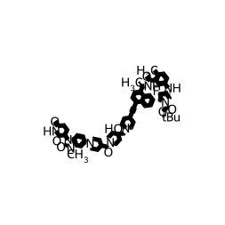 Cc1ccc(N[C@H]2CN(C(=O)OC(C)(C)C)C[C@H]2F)cc1C(=O)N[C@H](C)c1ccc(C#CC2CCN(CC3(O)CCN(C(=O)C4CCN(c5ccc6c(c5)n(C)c(=O)n6C5CCC(=O)NC5=O)CC4)CC3)CC2)c2ccccc12